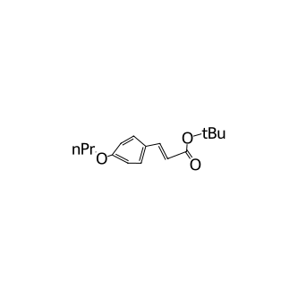 CCCOc1ccc(C=CC(=O)OC(C)(C)C)cc1